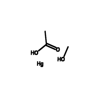 CC(=O)O.CO.[Hg]